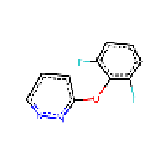 Fc1cccc(F)c1Oc1cc[c]nn1